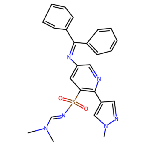 CN(C)C=NS(=O)(=O)c1cc(N=C(c2ccccc2)c2ccccc2)cnc1-c1cnn(C)c1